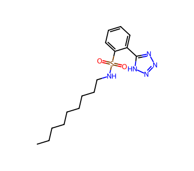 CCCCCCCCCNS(=O)(=O)c1ccccc1-c1nnn[nH]1